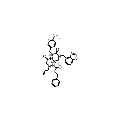 C=CCN1CC(=O)N2[C@@H](Cc3ccc(N)nc3)C(=O)N(Cc3cccc4scnc34)C[C@@H]2N1C(=O)NCc1ccccc1